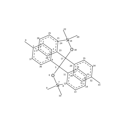 Cc1ccc(C(O[Si](C)(C)C)(c2ccccc2)C(O[Si](C)(C)C)(c2ccccc2)c2ccc(C)cc2)cc1